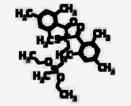 CCO[Si](C)(CCCP(=S)(C(=O)c1c(C)cc(C)cc1C)C(=O)c1c(C)cc(C)cc1C)OCC